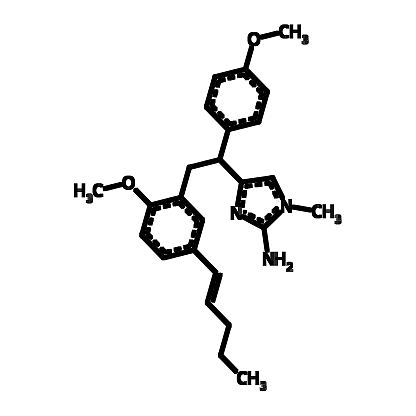 CCCC=Cc1ccc(OC)c(CC(c2ccc(OC)cc2)c2cn(C)c(N)n2)c1